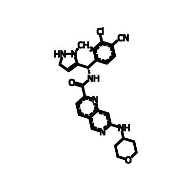 CN1NCC=C1[C@@H](NC(=O)c1ccc2cnc(NC3CCOCC3)cc2n1)c1ccc(C#N)c(Cl)c1